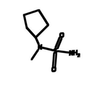 CN(C1CCCC1)S(N)(=O)=O